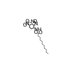 CCCCCCCCCCC(=O)ONc1ccc([N+](=O)[O-])c2nonc12